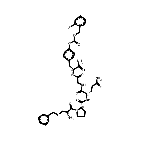 NC(=O)CC[C@H](NC(=O)[C@@H]1CCCN1C(=O)[C@@H](N)COCc1ccccc1)C(=O)NCC(=O)N[C@@H](Cc1ccc(OC(=O)OCc2ccccc2Br)cc1)C(N)=O